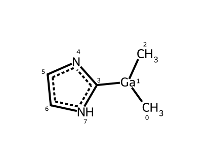 [CH3][Ga]([CH3])[c]1ncc[nH]1